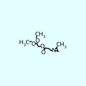 CCOC(COC(=O)CCN1CC1C)OCC